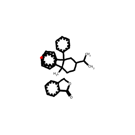 CC(C)C1CCC(C)(c2ccccc2)C(c2ccccc2)(c2ccccc2)C1.O=C1OCc2ccccc21